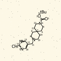 CC(C)(C)OC(=O)N1CCC2(CCN(Cc3cnc(Cl)nc3)CC2)CC1